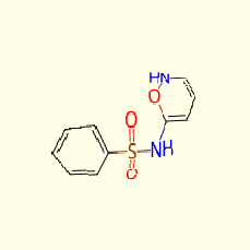 O=S(=O)(NC1=CC=CNO1)c1ccccc1